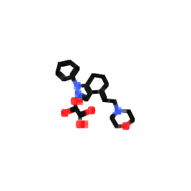 C(CN1CCOCC1)=C1CCCc2c1cnn2-c1ccccc1.O=C(O)C(=O)O